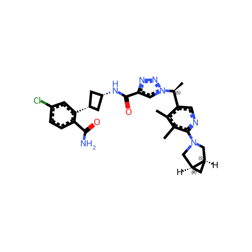 Cc1c([C@H](C)n2cc(C(=O)N[C@H]3C[C@@H](c4cc(Cl)ccc4C(N)=O)C3)nn2)cnc(N2C[C@H]3C[C@H]3C2)c1C